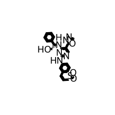 O=S1(=O)CC=Cc2cc(Nc3ncc(-c4nnco4)c(N[C@H](CO)c4ccccc4)n3)ccc21